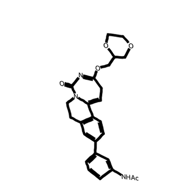 CC(=O)Nc1cccc(-c2ccc3c(c2)CCN2C(=O)N=C(OCC4COCCO4)CC=C32)c1